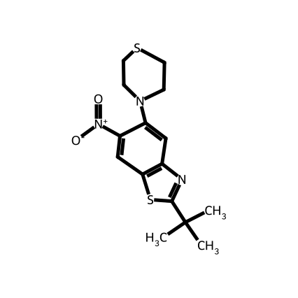 CC(C)(C)c1nc2cc(N3CCSCC3)c([N+](=O)[O-])cc2s1